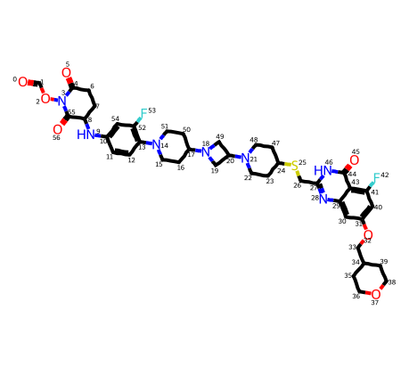 O=CON1C(=O)CCC(Nc2ccc(N3CCC(N4CC(N5CCC(SCc6nc7cc(OCC8CCOCC8)cc(F)c7c(=O)[nH]6)CC5)C4)CC3)c(F)c2)C1=O